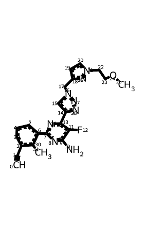 C#Cc1cccc(-c2nc(N)c(F)c(-c3cn(Cc4ccn(CCOC)n4)nn3)n2)c1C